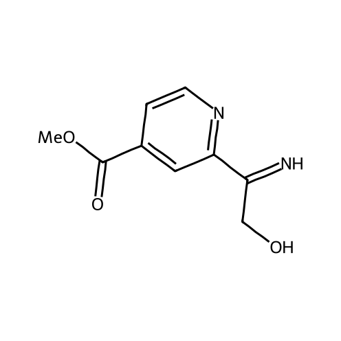 COC(=O)c1ccnc(C(=N)CO)c1